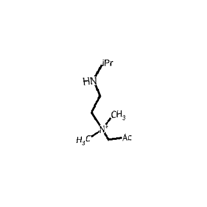 CC(=O)C[N+](C)(C)CCNC(C)C